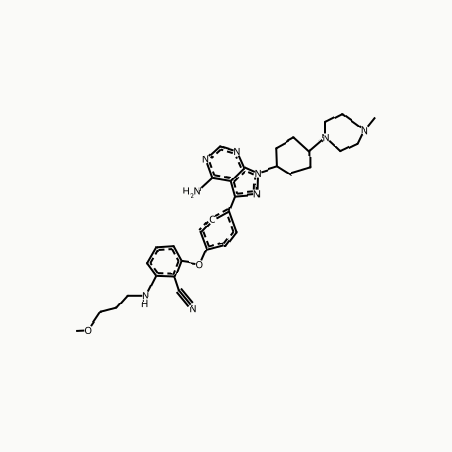 COCCCNc1cccc(Oc2ccc(-c3nn(C4CCC(N5CCN(C)CC5)CC4)c4ncnc(N)c34)cc2)c1C#N